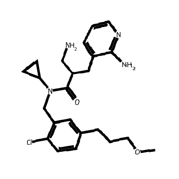 COCCCc1ccc(Cl)c(CN(C(=O)C(CN)Cc2cccnc2N)C2CC2)c1